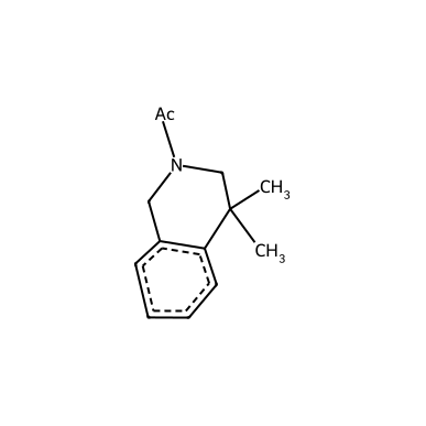 CC(=O)N1Cc2ccccc2C(C)(C)C1